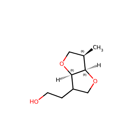 C[C@@H]1CO[C@@H]2C(CCO)CO[C@H]12